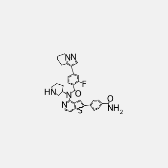 NC(=O)c1ccc(-c2cc3c(N(C(=O)c4ccc(-c5cnn6c5CCCC6)cc4F)[C@@H]4CCCNC4)nccc3s2)cc1